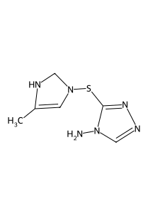 CC1=CN(Sc2nncn2N)CN1